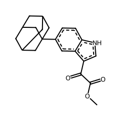 COC(=O)C(=O)c1c[nH]c2ccc(C34CC5CC(CC(C5)C3)C4)cc12